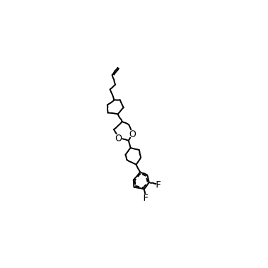 C=CCCC1CCC(C2COC(C3CCC(c4ccc(F)c(F)c4)CC3)OC2)CC1